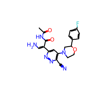 CC(=O)NC(=O)/C(=C\N)c1cc(N2CCOC(c3ccc(F)cc3)C2)c(C#N)nn1